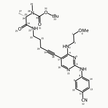 COCCNc1nc(Nc2ccc(C#N)cc2)ncc1C#CCCCNC(=O)[C@H](C)N(C)C(=O)OC(C)(C)C